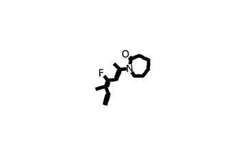 C=C/C(C)=C(F)\C=C(/C)N1CCCCCC1=O